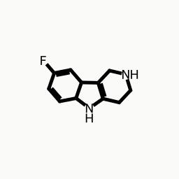 FC1=CC2C3=C(CCNC3)NC2C=C1